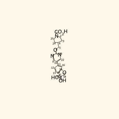 O=C(O)N1CCC(COc2ncc(-c3ccc4c(c3)OCS4(O)O)cn2)CC1